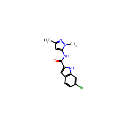 Cc1cc(NC(=O)c2cc3ccc(Br)cc3[nH]2)n(C)n1